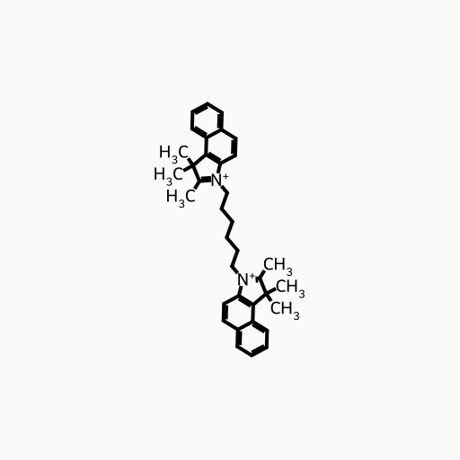 CC1=[N+](CCCCCC[N+]2=C(C)C(C)(C)c3c2ccc2ccccc32)c2ccc3ccccc3c2C1(C)C